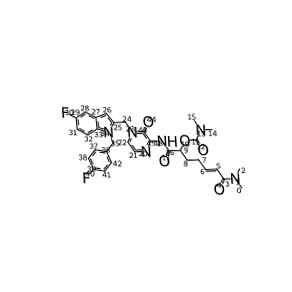 CN(C)C(=O)C=CCCC(OC(=O)N(C)C)C(=O)Nc1nccn(Cc2cc3cc(F)ccc3n2Cc2ccc(F)cc2)c1=O